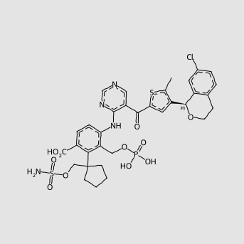 Cc1sc(C(=O)c2cncnc2Nc2ccc(C(=O)O)c(C3(COS(N)(=O)=O)CCCC3)c2COP(=O)(O)O)cc1[C@@H]1OCCc2ccc(Cl)cc21